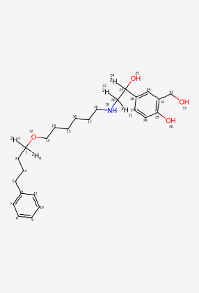 [2H]C([2H])(CCCc1ccccc1)OCCCCCCNC([2H])([2H])C([2H])(O)c1ccc(O)c(CO)c1